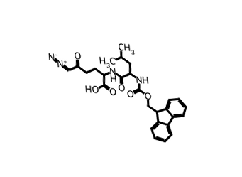 CC(C)CC(NC(=O)OCC1c2ccccc2-c2ccccc21)C(=O)NC(CCC(=O)C=[N+]=[N-])C(=O)O